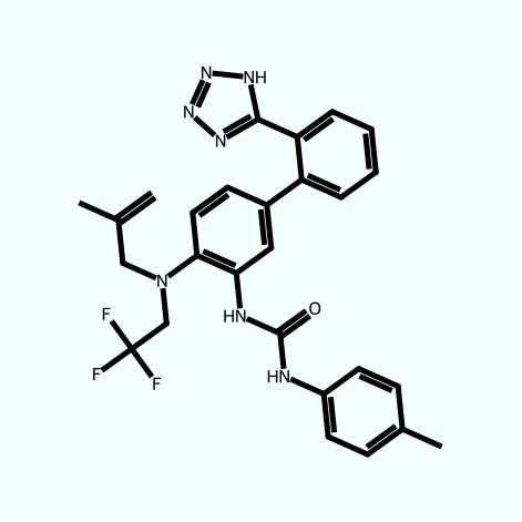 C=C(C)CN(CC(F)(F)F)c1ccc(-c2ccccc2-c2nnn[nH]2)cc1NC(=O)Nc1ccc(C)cc1